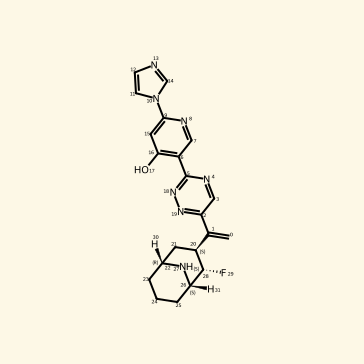 C=C(c1cnc(-c2cnc(-n3ccnc3)cc2O)nn1)[C@@H]1C[C@H]2CCC[C@H](N2)[C@H]1F